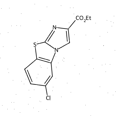 CCOC(=O)c1cn2c(n1)sc1ccc(Cl)cc12